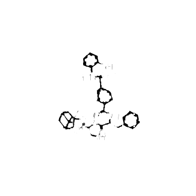 CC(C)C[C@H](NC(=O)[C@H](Cc1ccccc1)NC(=O)c1ccc(C(=O)Nc2ccccc2N)cc1)B1OC2C3CC(C[C@]2(C)O1)C3(C)C